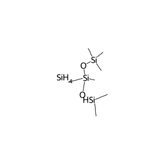 C[SiH](C)O[Si](C)(C)O[Si](C)(C)C.[SiH4]